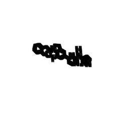 Cc1ccccc1CC(=O)N1CCc2cc(-c3ccnc(Nc4ccnn4C)n3)cc(F)c21